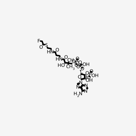 CC(C)(COP(=O)(O)OP(=O)(O)OC[C@H]1O[C@@H](n2cnc3c(N)ncnc32)[C@H](O)[C@@H]1OP(=O)(O)O)[C@@H](O)C(=O)NCCC(=O)NCCSC(=O)CF